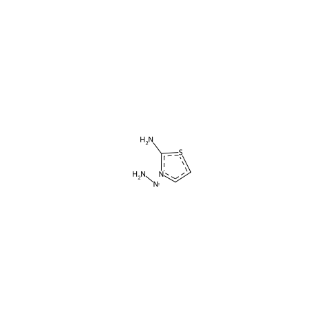 Nc1nccs1.[N]N